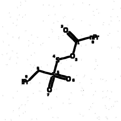 CCCC(=O)OSS(=O)(=O)CC(C)C